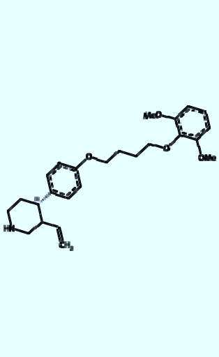 C=CC1CNCC[C@@H]1c1ccc(OCCCCOc2c(OC)cccc2OC)cc1